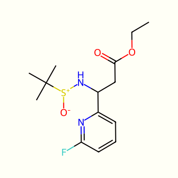 CCOC(=O)CC(N[S+]([O-])C(C)(C)C)c1cccc(F)n1